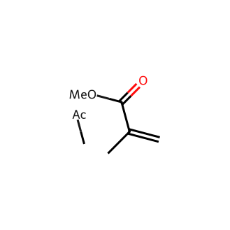 C=C(C)C(=O)OC.CC(C)=O